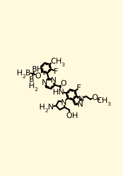 BC(B)(B)Oc1ccc(C)c(F)c1-c1nccc(C(=O)Nc2cc(F)c3c(cnn3CCOC)c2N2CC(N)CC2CO)n1